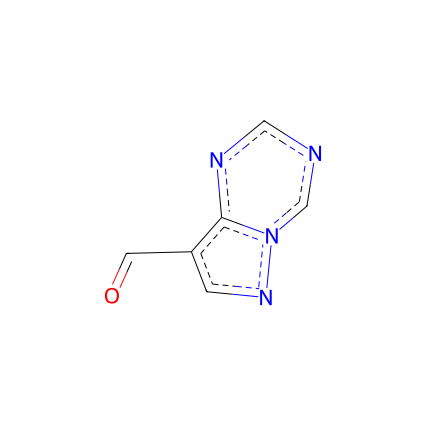 O=Cc1cnn2cncnc12